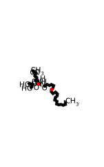 CC/C=C\C/C=C\C/C=C\C/C=C\C/C=C\C/C=C\CCC(=O)NCC(NC(=O)/C=C/C(=O)OC)C(=O)OC(CO)CO